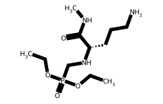 CCOP(=O)(CN[C@@H](CCCN)C(=O)NC)OCC